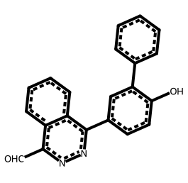 O=Cc1nnc(-c2ccc(O)c(-c3ccccc3)c2)c2ccccc12